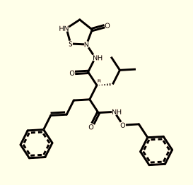 CC(C)C[C@@H](C(=O)NN1SNCC1=O)C(CC=Cc1ccccc1)C(=O)NOCc1ccccc1